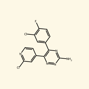 Nc1nnc(-c2ccnc(Cl)c2)c(-c2ccc(F)c(Cl)c2)n1